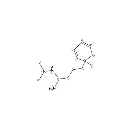 CN(C)NC(N)CCCC1(C)C=CC=CC1